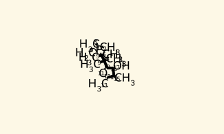 C=P(C)(C)C(C)(C)C(C)(C)C1O[C@@H](C)[C@H](C)[C@@H]1O